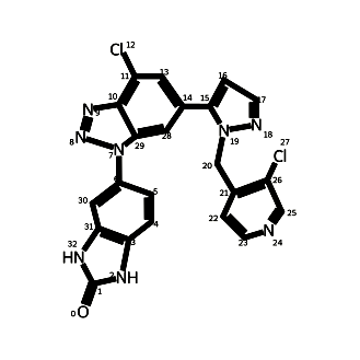 O=c1[nH]c2ccc(-n3nnc4c(Cl)cc(-c5ccnn5Cc5ccncc5Cl)cc43)cc2[nH]1